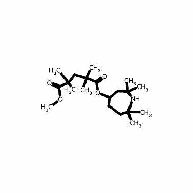 COC(=O)C(C)(C)CC(C)(C)C(=O)OC1CCC(C)(C)NC(C)(C)C1